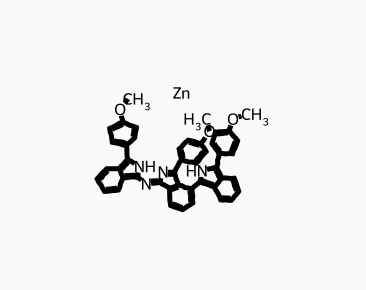 COc1ccc(C2=NC(=Nc3[nH]c(-c4ccc(OC)cc4)c4ccccc34)c3cccc(-c4[nH]c(-c5ccc(OC)cc5)c5ccccc45)c32)cc1.[Zn]